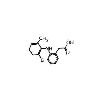 CC1=CCCC(Cl)=C1Nc1ccccc1CC(=O)O